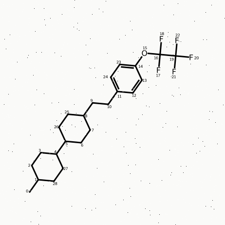 CC1CCC(C2CCC(CCc3ccc(OC(F)(F)C(F)(F)F)cc3)CC2)CC1